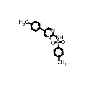 Cc1ccc(-c2cnc(NS(=O)(=O)c3ccc(C)cc3)nc2)cc1